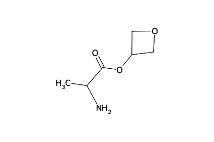 CC(N)C(=O)OC1COC1